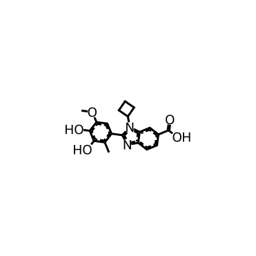 COc1cc(-c2nc3ccc(C(=O)O)cc3n2C2CCC2)c(C)c(O)c1O